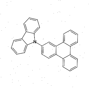 c1ccc2c(c1)c1ccccc1c1cc(-n3c4ccccc4c4ccccc43)ccc21